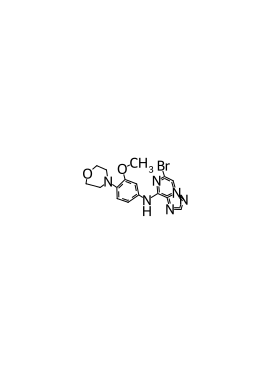 COc1cc(Nc2nc(Br)cn3ncnc23)ccc1N1CCOCC1